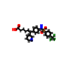 O=C(O)CCC/C=C(/c1ccc(NS(=O)(=O)c2ccc(C(F)(F)F)cc2)cc1)c1cccnc1